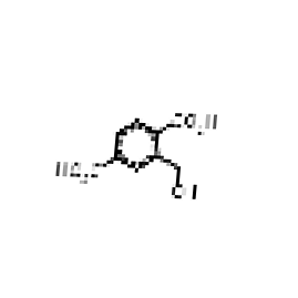 O=C(O)c1ccc(C(=O)O)c(CO)c1